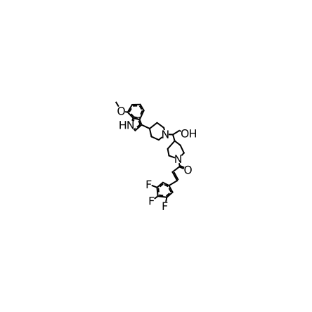 COc1cccc2c(C3CCN(C(CO)C4CCN(C(=O)/C=C/c5cc(F)c(F)c(F)c5)CC4)CC3)c[nH]c12